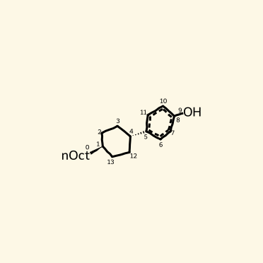 CCCCCCCC[C@H]1CC[C@H](c2ccc(O)cc2)CC1